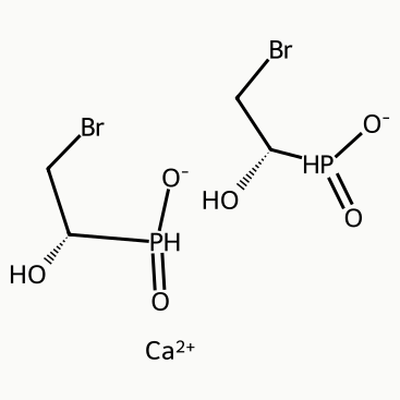 O=[PH]([O-])[C@H](O)CBr.O=[PH]([O-])[C@H](O)CBr.[Ca+2]